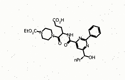 CCC[C@H](O)c1cc(C(=O)NC(CCC(=O)O)C(=O)N2CCN(C(=O)OCC)CC2)nc(-c2ccccc2)n1